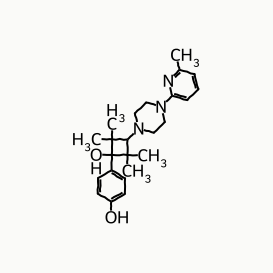 Cc1cccc(N2CCN(C3C(C)(C)C(O)(c4ccc(O)cc4)C3(C)C)CC2)n1